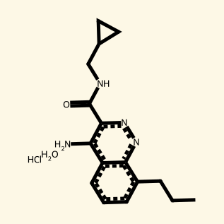 CCCc1cccc2c(N)c(C(=O)NCC3CC3)nnc12.Cl.O